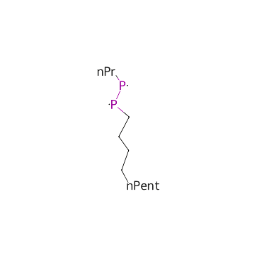 CCCCCCCCC[P][P]CCC